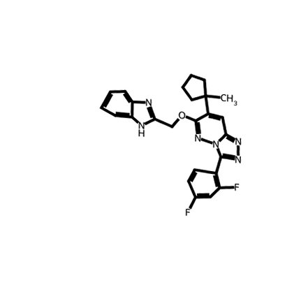 CC1(c2cc3nnc(-c4ccc(F)cc4F)n3nc2OCc2nc3ccccc3[nH]2)CCCC1